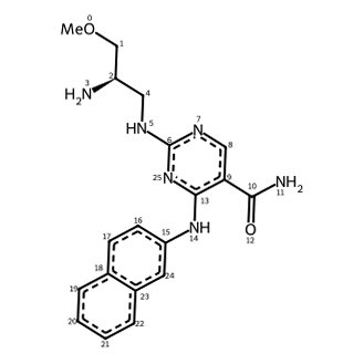 COC[C@H](N)CNc1ncc(C(N)=O)c(Nc2ccc3ccccc3c2)n1